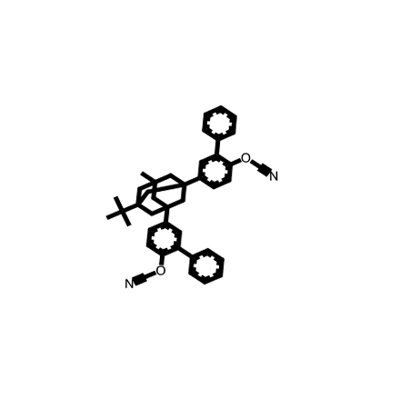 CC12CC3(c4ccc(OC#N)c(-c5ccccc5)c4)CC(c4ccc(OC#N)c(-c5ccccc5)c4)(C1)CC(C(C)(C)C)(C2)C3